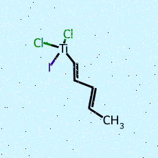 CC=CC=[CH][Ti]([Cl])([Cl])[I]